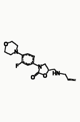 C=CCNCC1CN(c2ccc(N3CCOCC3)c(F)c2)C(=O)O1